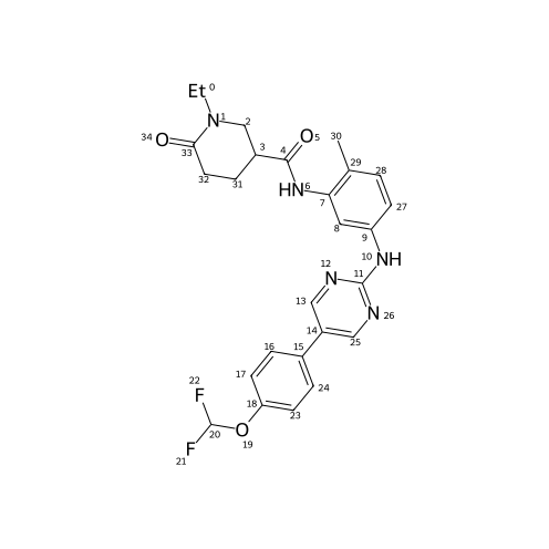 CCN1CC(C(=O)Nc2cc(Nc3ncc(-c4ccc(OC(F)F)cc4)cn3)ccc2C)CCC1=O